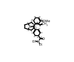 C=CCN1CCC2CCC(C1)N2C(C1=CCC(C(=O)N(CC)CC)C=C1)C1=CC(OC)=CCC1